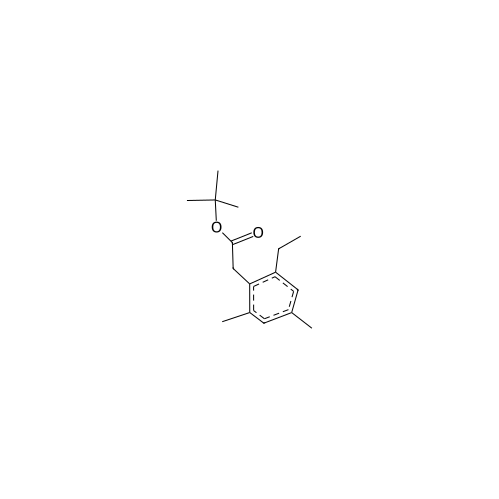 CCc1cc(C)cc(C)c1CC(=O)OC(C)(C)C